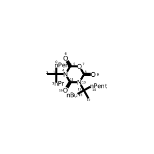 CCCCCC(C)(CCC)n1c(=O)oc(=O)n(C(C)(CCCC)CCCCC)c1=O